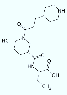 CC[C@H](NC(=O)[C@@H]1CCCN(C(=O)CCC2CCNCC2)C1)C(=O)O.Cl